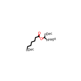 CCCCCCCCCCCCCCCC(=O)OC(CCCCCCC)CCCCCCCCCC